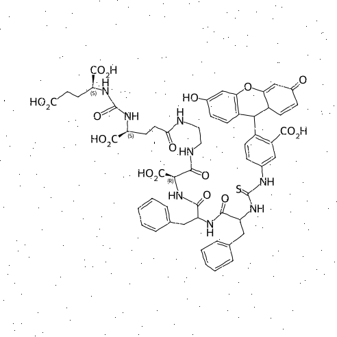 O=C1C=CC2C(=C1)Oc1cc(O)ccc1C2c1ccc(NC(=S)NC(Cc2ccccc2)C(=O)NC(Cc2ccccc2)C(=O)N[C@@H](C(=O)O)C(=O)NCCNC(=O)CC[C@H](NC(=O)N[C@@H](CCC(=O)O)C(=O)O)C(=O)O)cc1C(=O)O